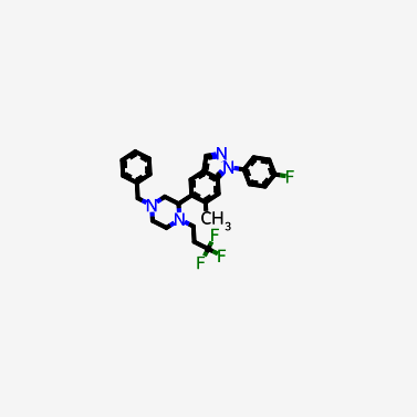 Cc1cc2c(cnn2-c2ccc(F)cc2)cc1C1CN(Cc2ccccc2)CCN1CCC(F)(F)F